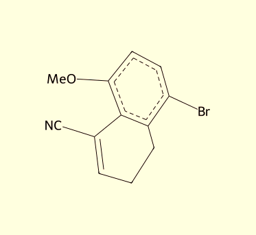 COc1ccc(Br)c2c1C(C#N)=CCC2